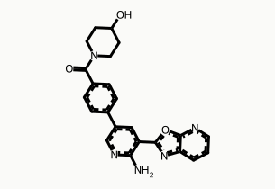 Nc1ncc(-c2ccc(C(=O)N3CCC(O)CC3)cc2)cc1-c1nc2cccnc2o1